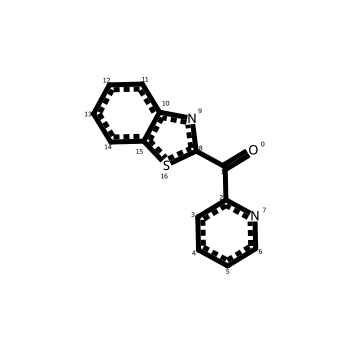 O=C(c1ccccn1)c1nc2ccccc2s1